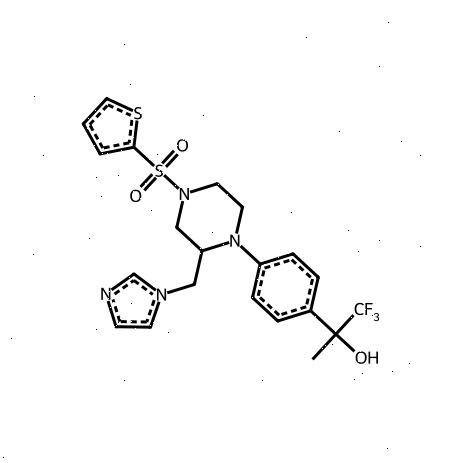 CC(O)(c1ccc(N2CCN(S(=O)(=O)c3cccs3)CC2Cn2ccnc2)cc1)C(F)(F)F